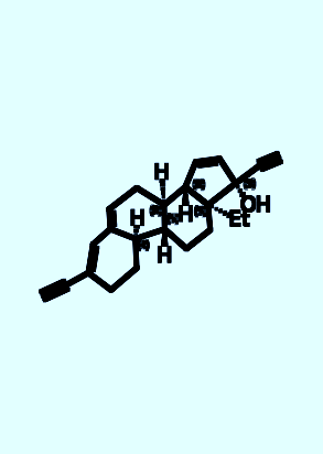 C#CC1=CC2=CC[C@@H]3[C@H](CC[C@@]4(CC)[C@H]3C=C[C@@]4(O)C#C)[C@H]2CC1